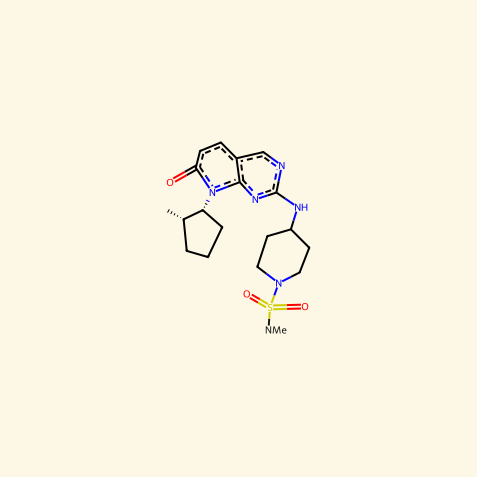 CNS(=O)(=O)N1CCC(Nc2ncc3ccc(=O)n([C@@H]4CCC[C@@H]4C)c3n2)CC1